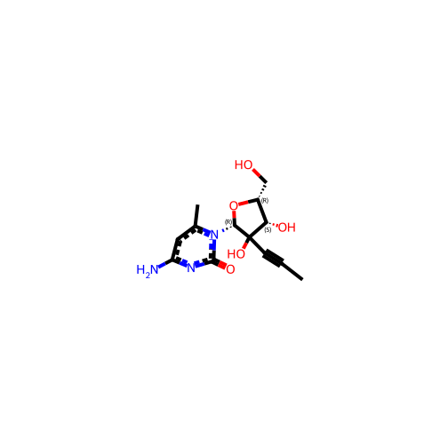 CC#CC1(O)[C@@H](O)[C@@H](CO)O[C@H]1n1c(C)cc(N)nc1=O